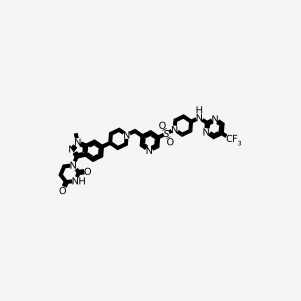 Cn1nc(N2CCC(=O)NC2=O)c2ccc(C3CCN(Cc4cncc(S(=O)(=O)N5CCC(Nc6ncc(C(F)(F)F)cn6)CC5)c4)CC3)cc21